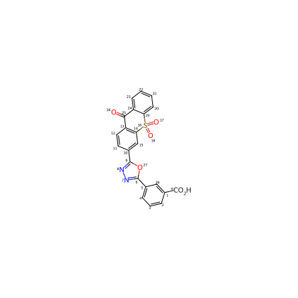 O=C(O)c1cccc(-c2nnc(-c3ccc4c(c3)S(=O)(=O)c3ccccc3C4=O)o2)c1